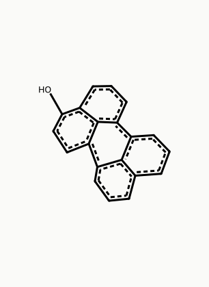 Oc1ccc2c3cccc4cccc(c5cccc1c52)c43